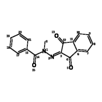 CN(N=c1c(=O)c2ccccc2c1=O)C(=O)c1ccccc1